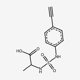 C#Cc1ccc(NS(=O)(=O)NC(C)C(=O)O)cc1